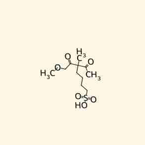 COCC(=O)C(C)(CCCCS(=O)(=O)O)C(C)=O